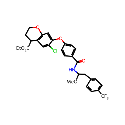 CCOC(=O)C1CCOc2cc(Oc3ccc(C(=O)NC(Cc4ccc(C(F)(F)F)cc4)OC)cc3)c(Cl)cc21